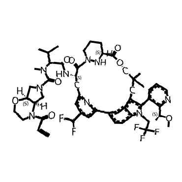 C=CC(=O)N1CCO[C@H]2CN(C(=O)N(C)C(C(=O)N[C@H]3Cc4cc(C(F)F)cc(n4)-c4ccc5c(c4)c(c(-c4cccnc4[C@H](C)OC)n5CC(F)(F)F)CC(C)(C)COC(=O)[C@@H]4CCCN(N4)C3=O)C(C)C)C[C@H]21